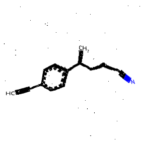 C#Cc1ccc(C(=C)CCC#N)cc1